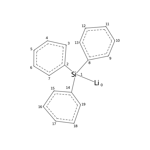 [Li][Si](c1ccccc1)(c1ccccc1)c1ccccc1